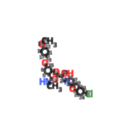 CNC(=O)c1ccc(OCc2ccc(OC)cc2)cc1OC[C@@H](O)CN1CCC2(Cc3cc(Cl)ccc3O2)C1